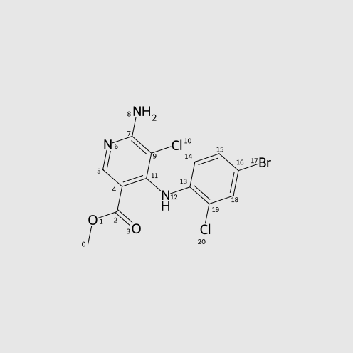 COC(=O)c1cnc(N)c(Cl)c1Nc1ccc(Br)cc1Cl